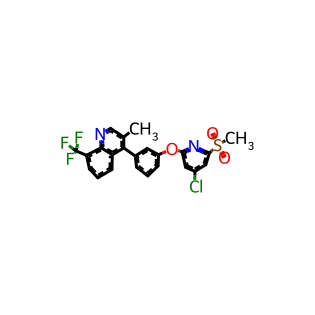 Cc1cnc2c(C(F)(F)F)cccc2c1-c1cccc(Oc2cc(Cl)cc(S(C)(=O)=O)n2)c1